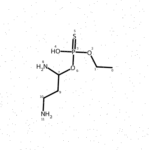 CCOP(O)(=S)OC(N)CCN